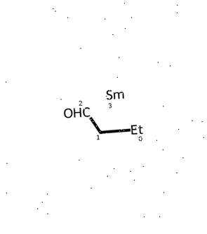 CCCC=O.[Sm]